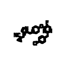 N#CC1(Cn2ccnc2CN2CCC(Oc3nc(Cc4ccc(Cl)cc4)ncc3F)CC2)CC1